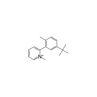 Cc1ccc(C(C)(C)C)cc1-c1cccc[n+]1C